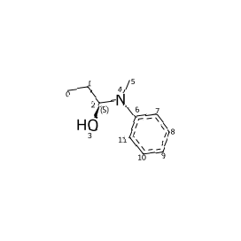 CC[C@H](O)N(C)c1ccccc1